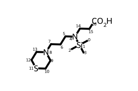 C[Si](C)(C)N(CCCN1CCSCC1)CCC(=O)O